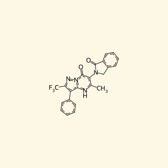 Cc1[nH]c2c(-c3ccccc3)c(C(F)(F)F)nn2c(=O)c1N1Cc2ccccc2C1=O